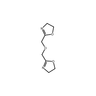 C1COC(COCC2=NCCO2)=N1